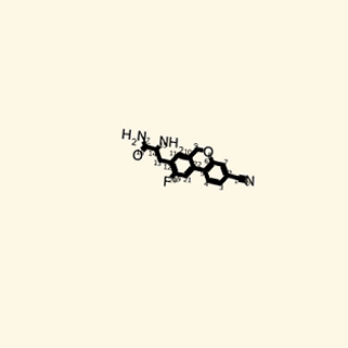 N#Cc1ccc2c(c1)OCc1cc(CC(N)C(N)=O)c(F)cc1-2